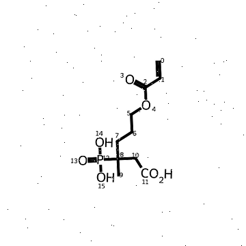 C=CC(=O)OCCCC(C)(CC(=O)O)P(=O)(O)O